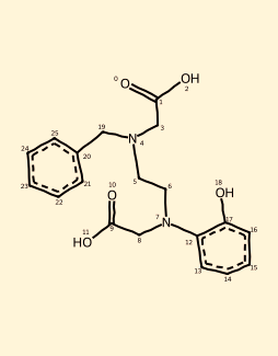 O=C(O)CN(CCN(CC(=O)O)c1ccccc1O)Cc1ccccc1